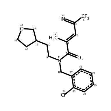 C/C(=C\C(=N)C(F)(F)F)C(=O)N(CCC1CCOC1)Cc1ccccc1Cl